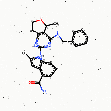 Cc1cc2c(C(N)=O)cccc2n1-c1nc2c(c(NCc3ccccc3)n1)C(C)OCC2